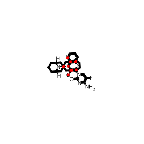 Nc1nc(=O)n(-c2nc3ccccc3n([C@H]3C[C@H]4CCC[C@@H](C3)N4[C@@H]3C[C@@H]4CCCC[C@@H](C4)C3)c2=O)cc1F